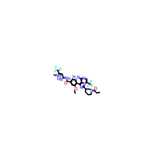 CCOc1cc(C(=O)NC(=N)/C=C(\NC)C(F)(F)F)ccc1-c1nc(C2CCCN(C(=O)CC)C2)n2c(C(F)(F)F)cnc(N)c12